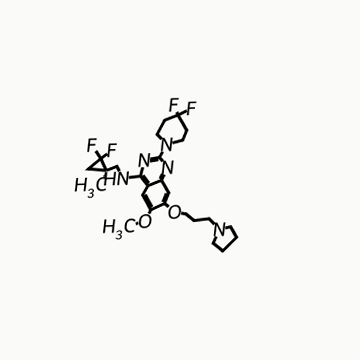 COc1cc2c(NC[C@@]3(C)CC3(F)F)nc(N3CCC(F)(F)CC3)nc2cc1OCCCN1CCCC1